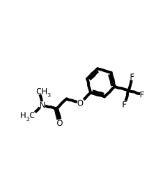 CN(C)C(=O)COc1cccc(C(F)(F)F)c1